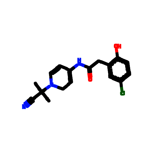 CC(C)(C#N)N1C=CC(NC(=O)Cc2cc(Cl)ccc2O)=CC1